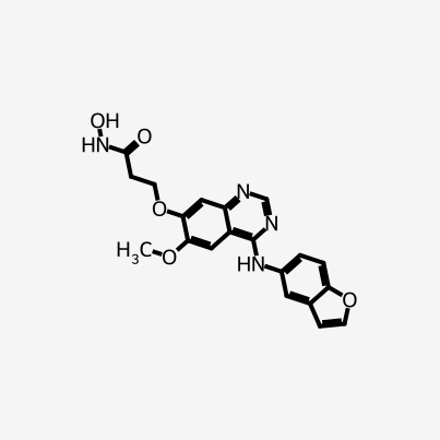 COc1cc2c(Nc3ccc4occc4c3)ncnc2cc1OCCC(=O)NO